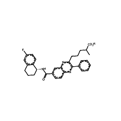 CC(CCCc1nc2cc(C(=O)N[C@@H]3CCCc4cc(F)ccc43)ccc2nc1-c1ccccc1)C(=O)O